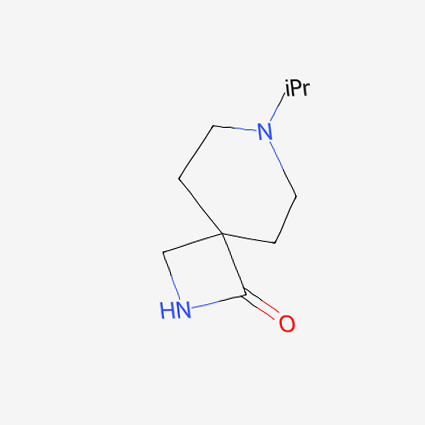 CC(C)N1CCC2(CC1)CNC2=O